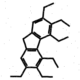 CCc1[c]c2c(c(CC)c1CC)-c1c(cc(CC)c(CC)c1CC)C2